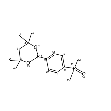 CC1(C)CC(C)(C)OB(c2ccc(P(C)(C)=O)cc2)O1